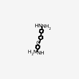 N=C(N)c1ccc(OCc2ccc(-c3ccc(C(=N)N)cc3)cc2)cc1